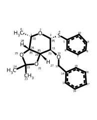 C[C@@H]1O[C@H](Sc2ccccc2)[C@@H](OCc2ccccc2)[C@@H]2OC(C)(C)O[C@@H]21